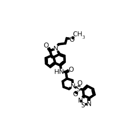 COCCCN1C(=O)c2cccc3c(NC(=O)C4CCCN(S(=O)(=O)c5cccc6nsnc56)C4)ccc1c23